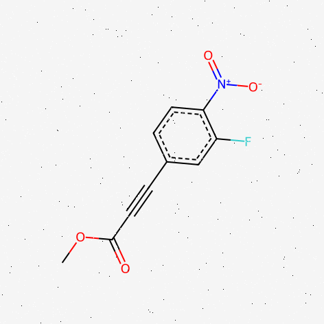 COC(=O)C#Cc1ccc([N+](=O)[O-])c(F)c1